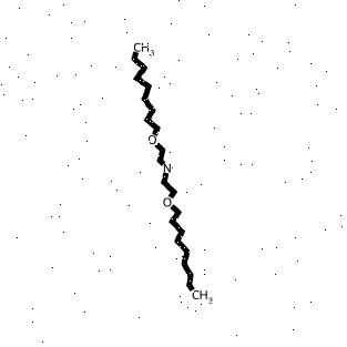 CCCCCCCCCOCC[N]CCOCCCCCCCCC